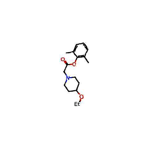 CCOC1CCN(CC(=O)Oc2c(C)cccc2C)CC1